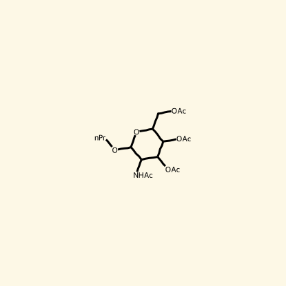 CCCOC1OC(COC(C)=O)C(OC(C)=O)C(OC(C)=O)C1NC(C)=O